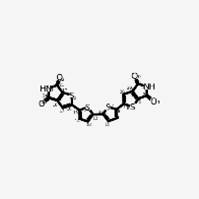 O=C1NC(=O)c2sc(-c3ccc(-c4ccc(-c5cc6c(s5)C(=O)NC6=O)s4)s3)cc21